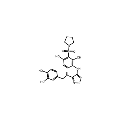 O=S(=O)(c1c(O)ccc(Nc2nsnc2NCc2ccc(O)c(O)c2)c1O)N1CCCC1